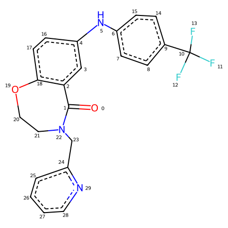 O=C1c2cc(Nc3ccc(C(F)(F)F)cc3)ccc2OCCN1Cc1ccccn1